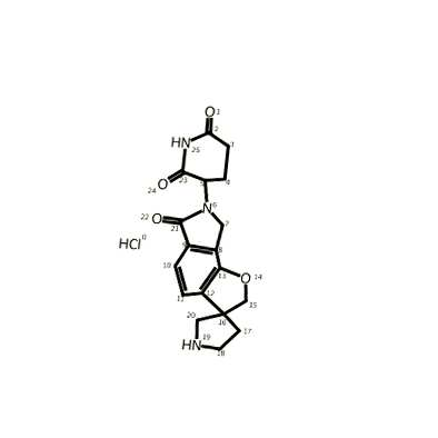 Cl.O=C1CCC(N2Cc3c(ccc4c3OCC43CCNC3)C2=O)C(=O)N1